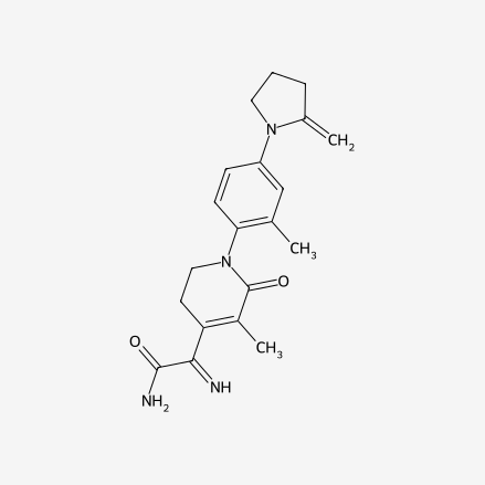 C=C1CCCN1c1ccc(N2CCC(C(=N)C(N)=O)=C(C)C2=O)c(C)c1